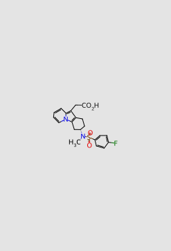 CN([C@H]1CCc2c(CC(=O)O)c3ccccn3c2C1)S(=O)(=O)c1ccc(F)cc1